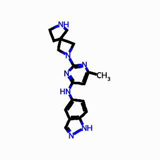 Cc1cc(Nc2ccc3[nH]ncc3c2)nc(N2CC3(CCNC3)C2)n1